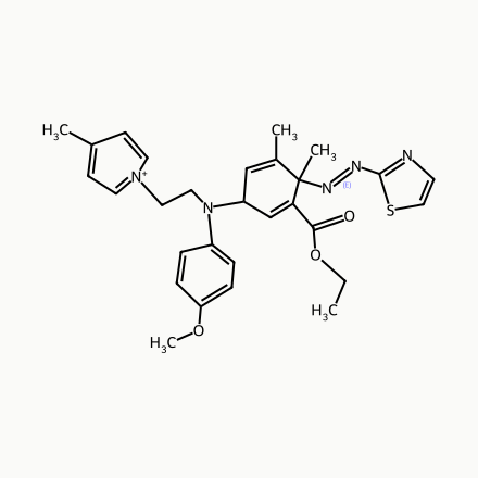 CCOC(=O)C1=CC(N(CC[n+]2ccc(C)cc2)c2ccc(OC)cc2)C=C(C)C1(C)/N=N/c1nccs1